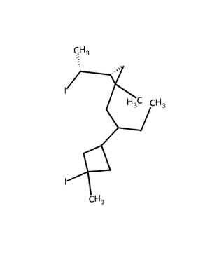 CCC(CC1(C)C[C@H]1[C@@H](C)I)C1CC(C)(I)C1